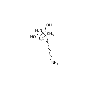 CC(C)(C=NCCCCCCN)C(N)(CCO)CCO